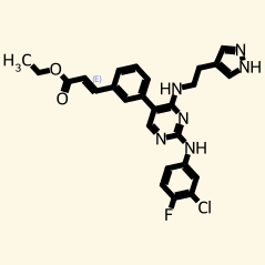 CCOC(=O)/C=C/c1cccc(-c2cnc(Nc3ccc(F)c(Cl)c3)nc2NCCc2cn[nH]c2)c1